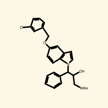 CNCC(O)C(c1ccccc1)n1ccc2cc(OCc3cccc(Cl)c3)ccc21